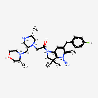 C=C1C(Cc2ccc(F)cc2)=CC2=C(N1N)C(C)(C)CN2C(=O)CN1C[C@@H](C)NC[C@@H]1CN1CCOC[C@H]1C